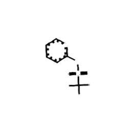 O=S(=O)(Oc1ccccn1)C(F)(F)F